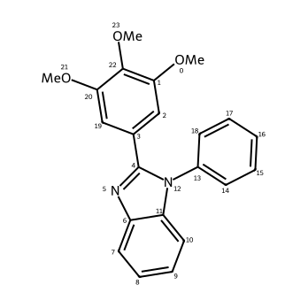 COc1cc(-c2nc3ccccc3n2-c2ccccc2)cc(OC)c1OC